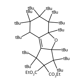 CCOC(=O)C1(C(=O)OCC)C(C(C)(C)C)(C(C)(C)C)C2=C3C(C(C)(C)C)C(C(C)(C)C)(C(C)(C)C)C(C(C)(C)C)(C(C)(C)C)C(C(C)(C)C)(C(C)(C)C)C3(C(C)(C)C)OC2(C(C)(C)C)C1(C(C)(C)C)C(C)(C)C